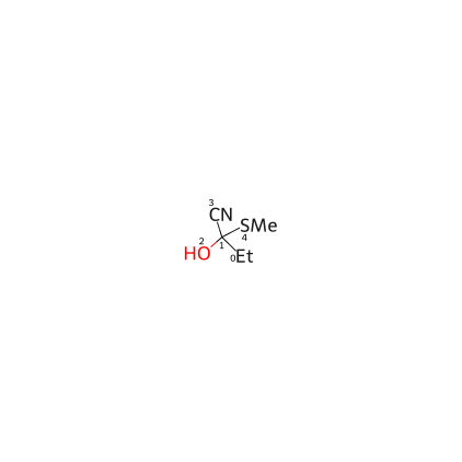 CCC(O)(C#N)SC